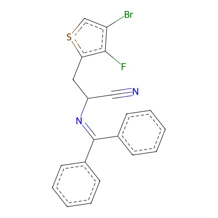 N#CC(Cc1scc(Br)c1F)N=C(c1ccccc1)c1ccccc1